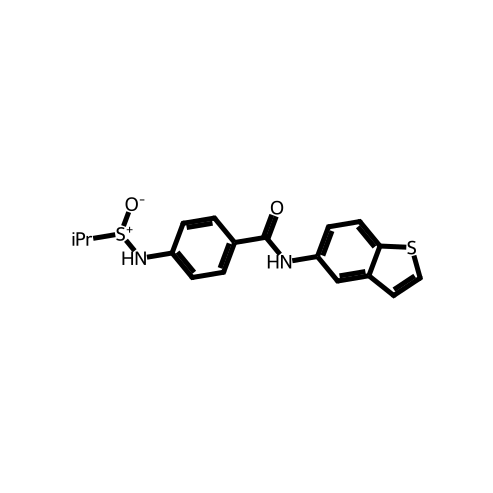 CC(C)[S+]([O-])Nc1ccc(C(=O)Nc2ccc3sccc3c2)cc1